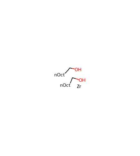 CCCCCCCCCO.CCCCCCCCCO.[Zr]